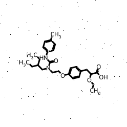 CCOC(Cc1ccc(OCCN(CC(CC)CC)C(=O)Nc2ccc(C)cc2)cc1)C(=O)O